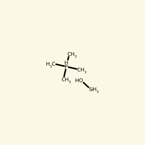 C[PH](C)(C)C.O[SiH3]